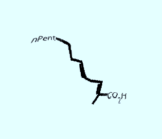 CCCCCCCC=CC=C(C)C(=O)O